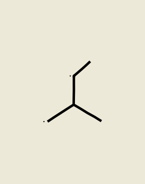 [CH2]C(C)[CH]C